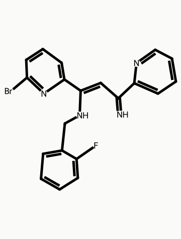 N=C(/C=C(\NCc1ccccc1F)c1cccc(Br)n1)c1ccccn1